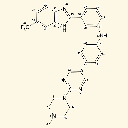 CN1CCN(c2ncc(-c3ccc(Nc4cccc(-c5nc6ccc(C(F)(F)F)cc6[nH]5)c4)cc3)cn2)CC1